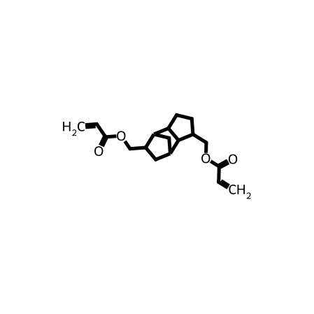 C=CC(=O)OCC1CC2CC1C1CCC(COC(=O)C=C)C21